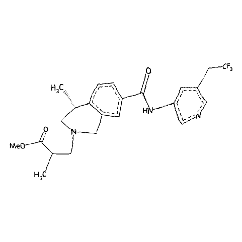 COC(=O)C(C)CN1Cc2cc(C(=O)Nc3cncc(CC(F)(F)F)c3)ccc2[C@@H](C)C1